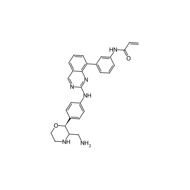 C=CC(=O)Nc1cccc(-c2cccc3cnc(Nc4ccc([C@@H]5OCCNC5CN)cc4)nc23)c1